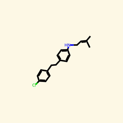 CC(C)=CCNc1ccc(CCc2ccc(Cl)cc2)cc1